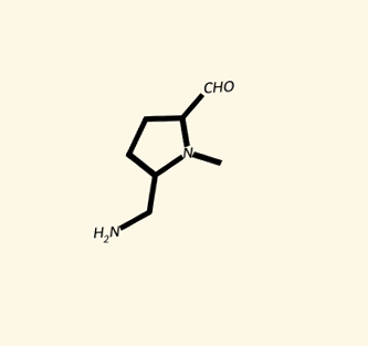 CN1C(C=O)CCC1CN